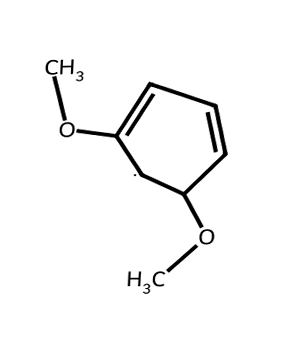 COC1=CC=CC(OC)[CH]1